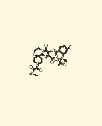 Cc1ncn(-c2cc(F)ccc2CNC(=O)c2nc3n(c(=O)c2O)CCOC32CCN(C(=O)C(=O)N(C)C)CC2)n1